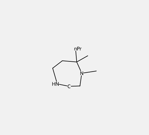 CCCC1(C)CCNCCN1C